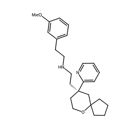 COc1cccc(CCNCC[C@@]2(c3ccccn3)CCOC3(CCCC3)C2)c1